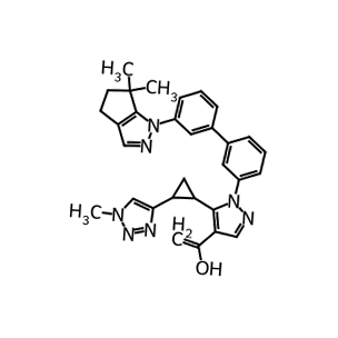 C=C(O)c1cnn(-c2cccc(-c3cccc(-n4ncc5c4C(C)(C)CC5)c3)c2)c1C1CC1c1cn(C)nn1